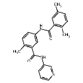 Cc1ccc(C)c(C(=O)Nc2ccc(C)c(C(=O)Nc3cccnc3)c2)c1